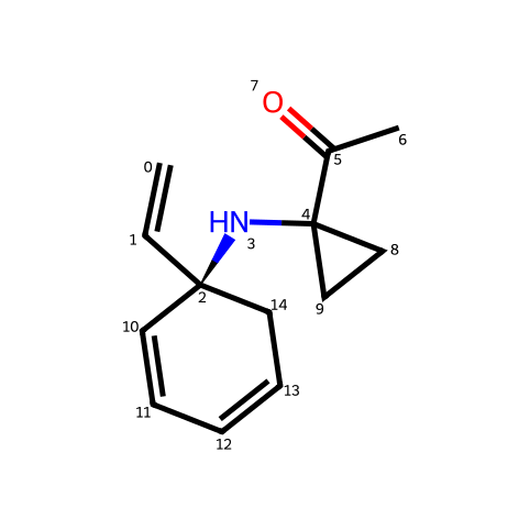 C=C[C@@]1(NC2(C(C)=O)CC2)C=CC=CC1